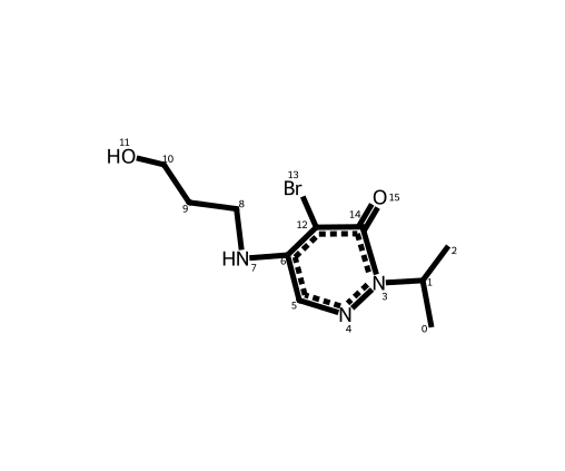 CC(C)n1ncc(NCCCO)c(Br)c1=O